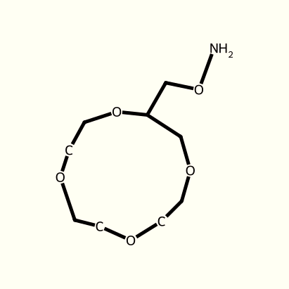 NOCC1COCCOCCOCCO1